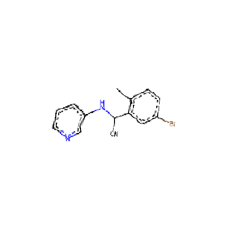 Cc1ccc(Br)cc1C(C#N)Nc1cccnc1